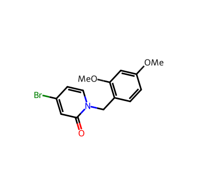 COc1ccc(Cn2ccc(Br)cc2=O)c(OC)c1